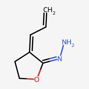 C=C/C=C1/CCO/C1=N/N